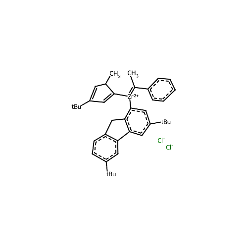 C/[C](c1ccccc1)=[Zr+2](\[C]1=CC(C(C)(C)C)=CC1C)[c]1cc(C(C)(C)C)cc2c1Cc1ccc(C(C)(C)C)cc1-2.[Cl-].[Cl-]